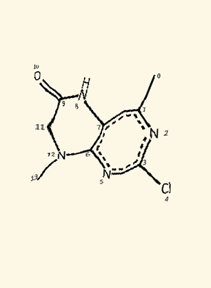 Cc1nc(Cl)nc2c1NC(=O)CN2C